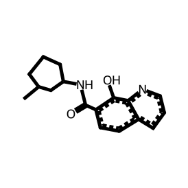 CC1CCCC(NC(=O)c2ccc3cccnc3c2O)C1